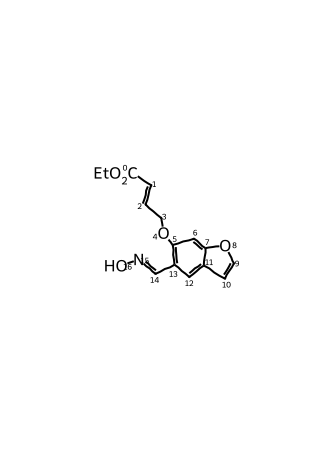 CCOC(=O)/C=C/COc1cc2occc2cc1/C=N/O